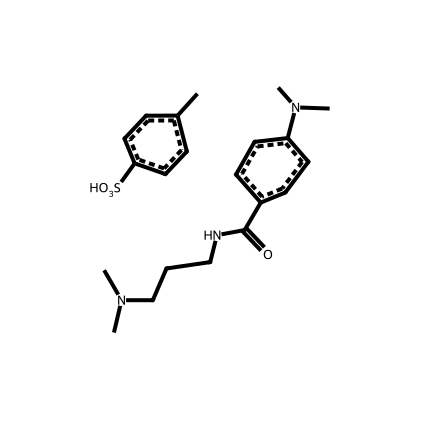 CN(C)CCCNC(=O)c1ccc(N(C)C)cc1.Cc1ccc(S(=O)(=O)O)cc1